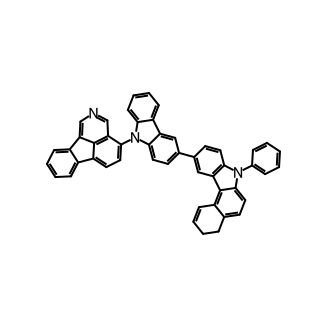 C1=Cc2c(ccc3c2c2cc(-c4ccc5c(c4)c4ccccc4n5-c4ccc5c6c(cncc46)-c4ccccc4-5)ccc2n3-c2ccccc2)CC1